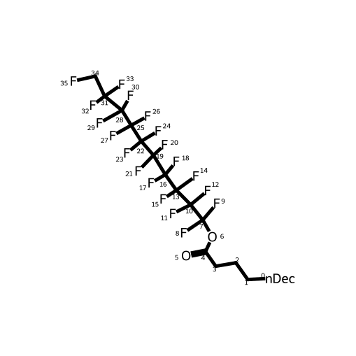 CCCCCCCCCCCCCC(=O)OC(F)(F)C(F)(F)C(F)(F)C(F)(F)C(F)(F)C(F)(F)C(F)(F)C(F)(F)C(F)(F)CF